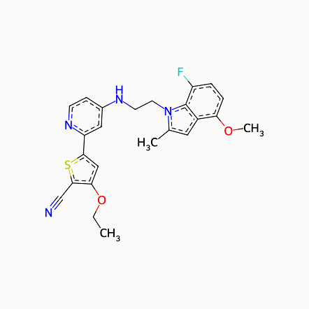 CCOc1cc(-c2cc(NCCn3c(C)cc4c(OC)ccc(F)c43)ccn2)sc1C#N